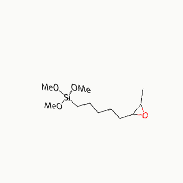 CO[Si](CCCCCC1OC1C)(OC)OC